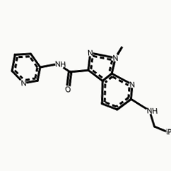 CC(C)CNc1ccc2c(C(=O)Nc3cccnc3)nn(C)c2n1